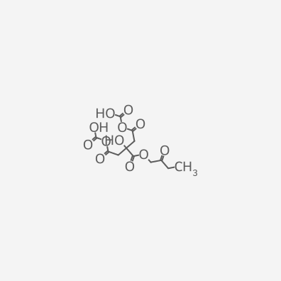 CCC(=O)COC(=O)C(O)(CC(=O)OC(=O)O)CC(=O)OC(=O)O